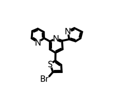 Brc1ccc(-c2cc(-c3ccccn3)nc(-c3ccccn3)c2)s1